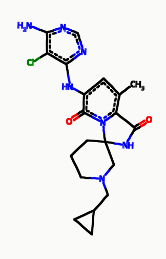 Cc1cc(Nc2ncnc(N)c2Cl)c(=O)n2c1C(=O)NC21CCCN(CC2CC2)C1